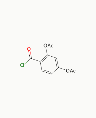 CC(=O)Oc1ccc(C(=O)Cl)c(OC(C)=O)c1